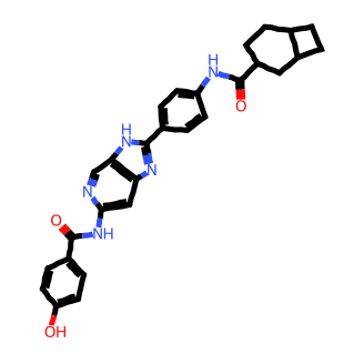 O=C(Nc1cc2nc(-c3ccc(NC(=O)C4CCC5CCC5C4)cc3)[nH]c2cn1)c1ccc(O)cc1